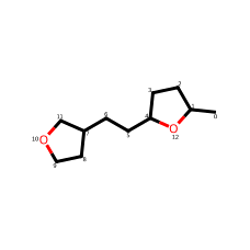 CC1CCC(CCC2CCOC2)O1